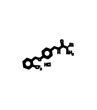 CC[C@H](N)C(=O)NCc1ccc(OCc2ccccc2C(F)(F)F)cc1.Cl